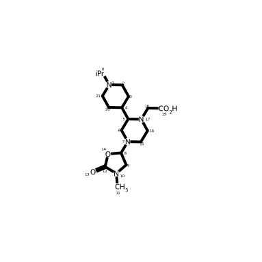 CC(C)N1CCC(C2CN(C3CN(C)C(=O)O3)CCN2CC(=O)O)CC1